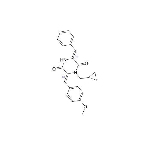 COc1ccc(/C=c2/c(=O)[nH]/c(=C\c3ccccc3)c(=O)n2CC2CC2)cc1